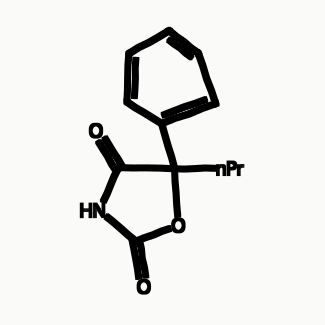 CCCC1(c2ccccc2)OC(=O)NC1=O